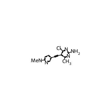 CNc1ccc(C#Cc2c(C)nc(N)nc2Cl)cn1